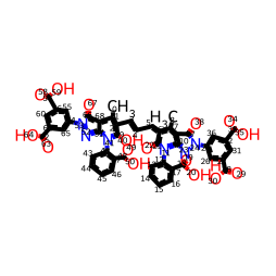 Cc1c(C=CC=c2c(C)c3c(n(-c4ccccc4C(=O)O)c2=O)=NN(c2cc(C(=O)O)cc(C(=O)O)c2)C3=O)c(O)n(-c2ccccc2C(=O)O)c2nn(-c3cc(C(=O)O)cc(C(=O)O)c3)c(=O)c1-2